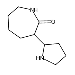 O=C1NCCCCC1C1CCCN1